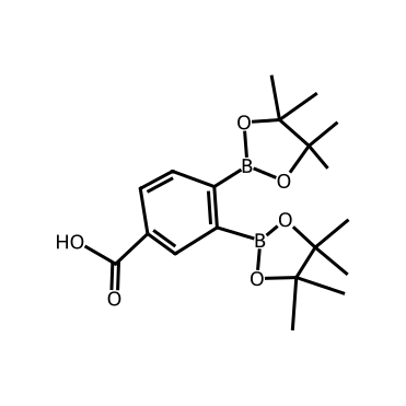 CC1(C)OB(c2ccc(C(=O)O)cc2B2OC(C)(C)C(C)(C)O2)OC1(C)C